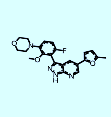 COc1c(N2CCOCC2)ccc(F)c1-c1n[nH]c2ncc(-c3ccc(C)o3)cc12